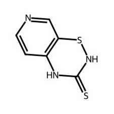 S=C1NSc2cnccc2N1